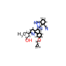 CCC(CCO)c1ccc2c(n1)c1cc(OCC3CC3)ccc1c1nc(-c3c(C#N)cccc3C#N)[nH]c21